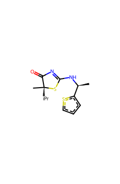 CC(C)[C@]1(C)SC(N[C@@H](C)c2cccs2)=NC1=O